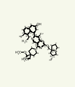 C=CC1(C(=O)OC)CCN(c2nc(OC[C@@]34CCCN3C[C@H](F)C4)nc3c(F)c(-c4cc(O)cc5ccc(F)c(CC)c45)ncc23)CC1